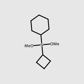 CO[Si](OC)(C1CCCCC1)C1CCC1